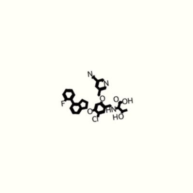 CC(O)C(NCc1cc(Cl)c(O[C@H]2CCc3c(-c4ccccc4F)cccc32)cc1OCc1cncc(C#N)c1)C(=O)O